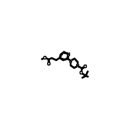 COC(=O)CCc1ccnc(N2CCN(C(=O)OC(C)(C)C)CC2)c1